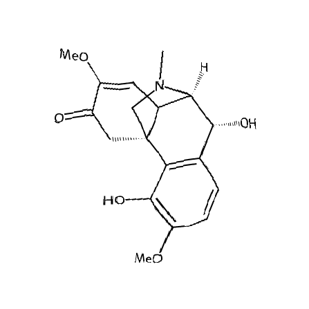 COC1=CC2[C@@H]3[C@H](O)c4ccc(OC)c(O)c4[C@@]2(CC1=O)CN3C